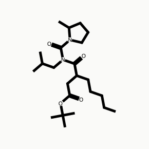 CCCCCC(CC(=O)OC(C)(C)C)C(=O)N(CC(C)C)C(=O)N1CCCC1C